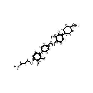 C=CCCOc1ccc(-c2ccc(COc3ccc(C4CCC(OCC)CC4)c(F)c3F)cc2)c(F)c1F